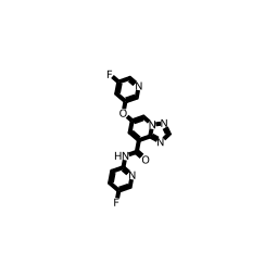 O=C(Nc1ccc(F)cn1)c1cc(Oc2cncc(F)c2)cn2ncnc12